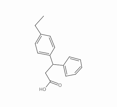 CCc1ccc(C(CC(=O)O)c2ccccc2)cc1